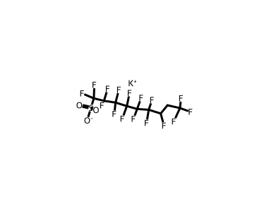 O=S(=O)([O-])C(F)(F)C(F)(F)C(F)(F)C(F)(F)C(F)(F)C(F)(F)C(F)CC(F)(F)F.[K+]